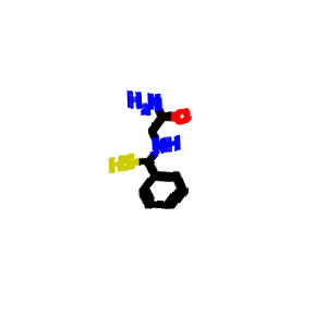 NC(=O)CNC(S)c1ccccc1